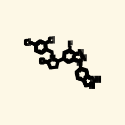 O=C1CCC(c2cc(F)c3nnn(-c4ccc5cn[nH]c5c4)c3c2)N1Cc1ccc(Cl)cc1Cl